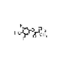 C=C(C)C(=O)Oc1cc(F)c(O)c(F)c1